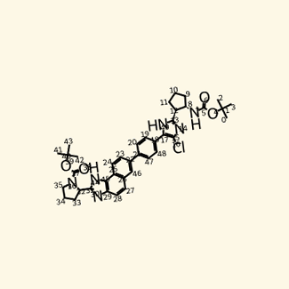 CC(C)(C)OC(=O)N[C@H]1CCC[C@@H]1c1nc(Cl)c(-c2ccc(-c3ccc4c(ccc5nc(C6CCCN6C(=O)OC(C)(C)C)[nH]c54)c3)cc2)[nH]1